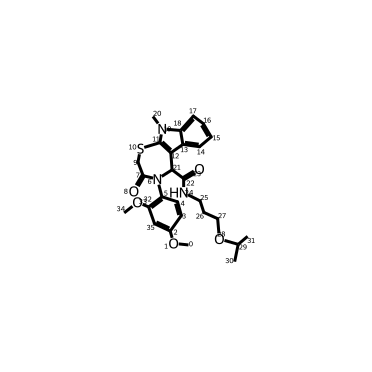 COc1ccc(N2C(=O)CSc3c(c4ccccc4n3C)C2C(=O)NCCCOC(C)C)c(OC)c1